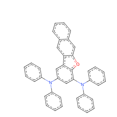 c1ccc(N(c2ccccc2)c2cc(N(c3ccccc3)c3ccccc3)c3oc4cc5ccccc5cc4c3c2)cc1